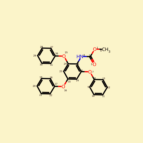 COC(=O)Nc1c(Oc2ccccc2)cc(Oc2ccccc2)cc1Oc1ccccc1